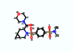 CCN(CC)S(=O)(=O)c1ccc(S(=O)(=O)N2CC3CC3CC2C(=O)N2CCOCC2)cc1